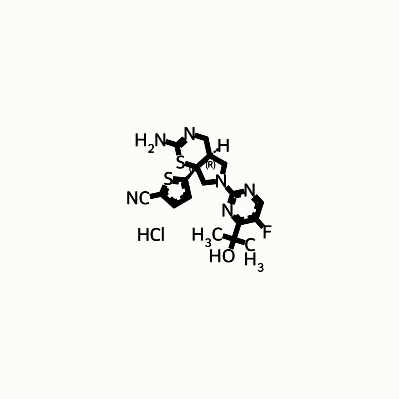 CC(C)(O)c1nc(N2C[C@@H]3CN=C(N)S[C@@]3(c3ccc(C#N)s3)C2)ncc1F.Cl